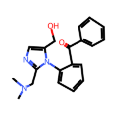 CN(C)Cc1ncc(CO)n1-c1ccccc1C(=O)c1ccccc1